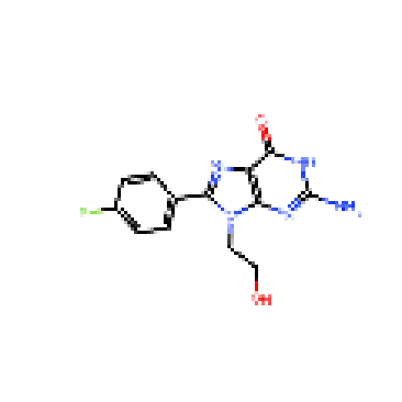 Nc1nc2c(nc(-c3ccc(F)cc3)n2CCO)c(=O)[nH]1